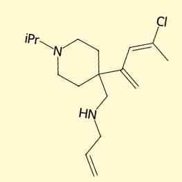 C=CCNCC1(C(=C)/C=C(\C)Cl)CCN(C(C)C)CC1